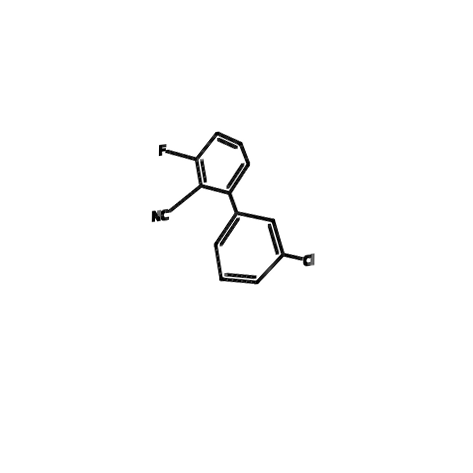 N#Cc1c(F)cccc1-c1cccc(Cl)c1